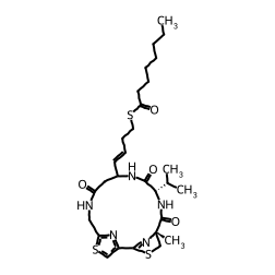 CCCCCCCC(=O)SCC/C=C/C1CC(=O)NCc2nc(cs2)C2=N[C@@](C)(CS2)C(=O)N[C@@H](C(C)C)C(=O)N1